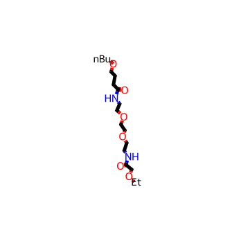 CCCCOCCCC(=O)NCCOCCOCCNC(=O)COCC